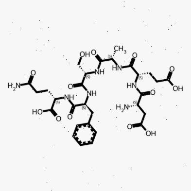 C[C@H](NC(=O)[C@H](CCC(=O)O)NC(=O)[C@@H](N)CC(=O)O)C(=O)N[C@@H](CO)C(=O)N[C@@H](Cc1ccccc1)C(=O)N[C@@H](CCC(N)=O)C(=O)O